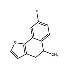 CC1Cc2ccsc2-c2cc(F)ccc21